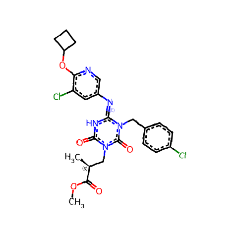 COC(=O)[C@@H](C)Cn1c(=O)[nH]/c(=N\c2cnc(OC3CCC3)c(Cl)c2)n(Cc2ccc(Cl)cc2)c1=O